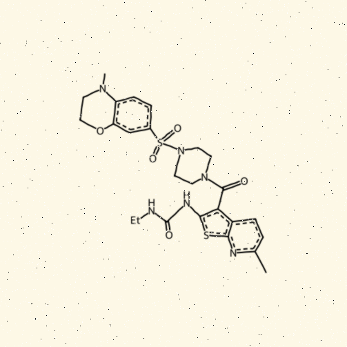 CCNC(=O)Nc1sc2nc(C)ccc2c1C(=O)N1CCN(S(=O)(=O)c2ccc3c(c2)OCCN3C)CC1